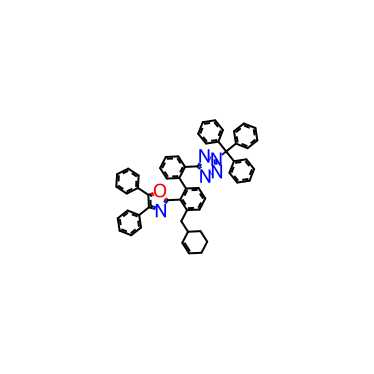 C1=CC(Cc2cccc(-c3ccccc3-c3nnn(C(c4ccccc4)(c4ccccc4)c4ccccc4)n3)c2-c2nc(-c3ccccc3)c(-c3ccccc3)o2)CCC1